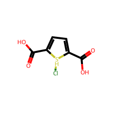 O=C(O)C1=CC=C(C(=O)O)[SH]1Cl